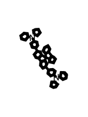 c1ccc(N(c2ccccc2)c2ccc(-c3ccc4c(c3)C3(c5ccccc5-c5ccccc53)c3cc(-c5ccc(N(c6ccccc6)c6ccccc6)cc5)ccc3-4)cc2)cc#1